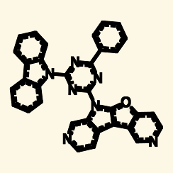 c1ccc(-c2nc(-n3c4ccccc4c4ccccc43)nc(-n3c4cnccc4c4c5cnccc5oc43)n2)cc1